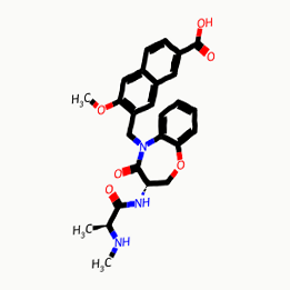 CN[C@@H](C)C(=O)N[C@H]1COc2ccccc2N(Cc2cc3cc(C(=O)O)ccc3cc2OC)C1=O